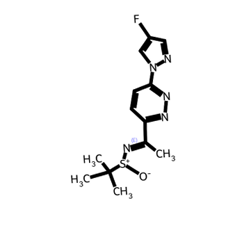 C/C(=N\[S+]([O-])C(C)(C)C)c1ccc(-n2cc(F)cn2)nn1